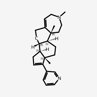 CN1CC=C2CC[C@@H]3[C@H](CC[C@]4(C)C(c5cccnc5)=CC[C@@H]34)[C@@]2(C)CC1